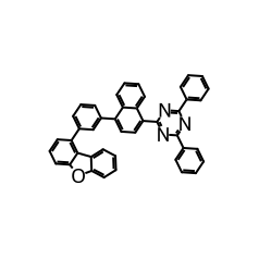 c1ccc(-c2nc(-c3ccccc3)nc(-c3ccc(-c4cccc(-c5cccc6oc7ccccc7c56)c4)c4ccccc34)n2)cc1